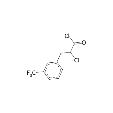 O=C(Cl)C(Cl)Cc1cccc(C(F)(F)F)c1